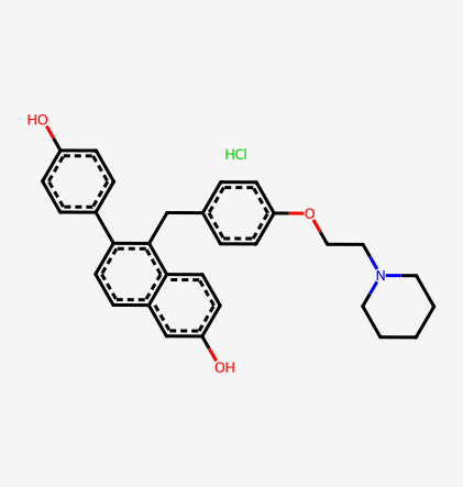 Cl.Oc1ccc(-c2ccc3cc(O)ccc3c2Cc2ccc(OCCN3CCCCC3)cc2)cc1